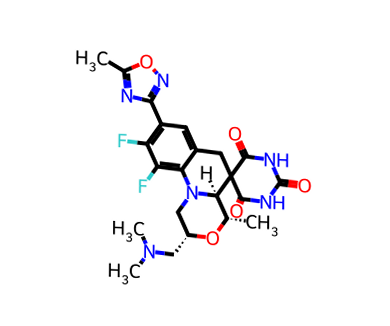 Cc1nc(-c2cc3c(c(F)c2F)N2C[C@@H](CN(C)C)O[C@@H](C)[C@@H]2C2(C3)C(=O)NC(=O)NC2=O)no1